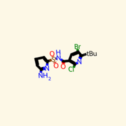 CC(C)(C)c1nc(Cl)c(C(=O)NS(=O)(=O)c2cccc(N)n2)cc1Br